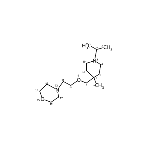 CC(C)N1CCC(C)(COCCN2CCOCC2)CC1